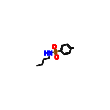 CCCCNS(=O)(=O)c1cc[c]cc1